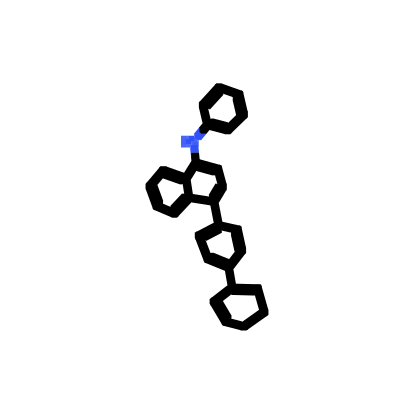 C1=CC(c2ccc(-c3ccc(Nc4ccccc4)c4ccccc34)cc2)=CCC1